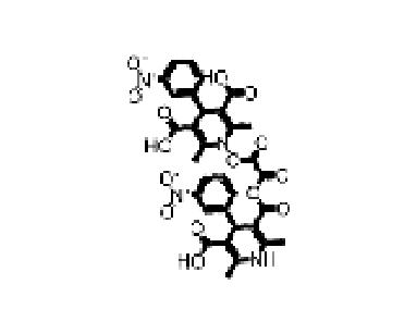 CC1=C(C(=O)O)C(c2cccc([N+](=O)[O-])c2)C(C(=O)OC(=O)C(=O)ON2C(C)=C(C(=O)O)C(c3cccc([N+](=O)[O-])c3)C(C(=O)O)=C2C)=C(C)N1